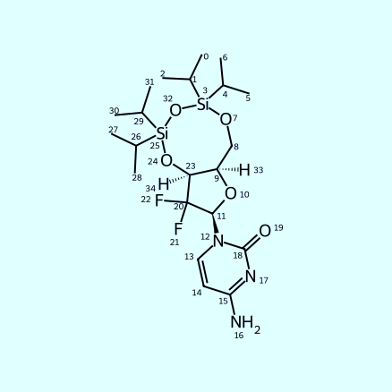 CC(C)[Si]1(C(C)C)OC[C@H]2O[C@@H](n3ccc(N)nc3=O)C(F)(F)[C@H]2O[Si](C(C)C)(C(C)C)O1